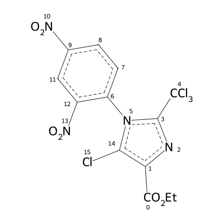 CCOC(=O)c1nc(C(Cl)(Cl)Cl)n(-c2ccc([N+](=O)[O-])cc2[N+](=O)[O-])c1Cl